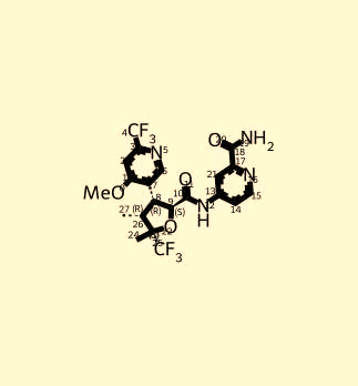 COc1cc(C(F)(F)F)ncc1[C@@H]1[C@@H](C(=O)Nc2ccnc(C(N)=O)c2)O[C@](C)(C(F)(F)F)[C@@H]1C